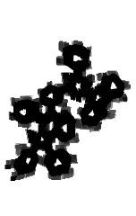 c1ccc(-c2nc(-c3cccc(-c4c(-c5ccccc5)n5nc(-c6ccccc6)c(-c6ccccc6)c5c5ccccc45)c3)nc(-n3c4ccccc4c4ccccc43)n2)cc1